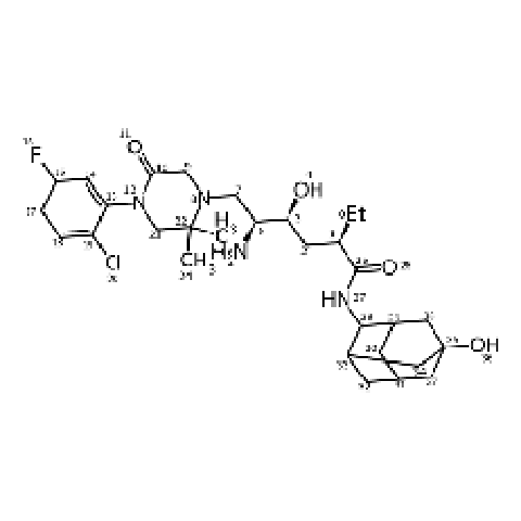 CC[C@H](C[C@H](O)[C@@H](N)CN1CC(=O)N(C2=CC(F)CC=C2Cl)CC1(C)C)C(=O)NC1C2CC3CC1CC(O)(C3)C2